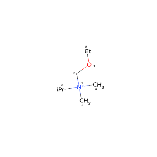 CCOC[N+](C)(C)C(C)C